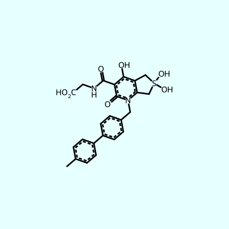 Cc1ccc(-c2ccc(Cn3c4c(c(O)c(C(=O)NCC(=O)O)c3=O)CS(O)(O)C4)cc2)cc1